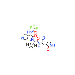 CN1CCC([C@H](NC(=O)C(F)(F)F)C(=O)N2C[C@H]3[C@@H]([C@H]2C(=O)N[C@H](C#N)C[C@@H]2CCNC2=O)C3(C)C)CC1